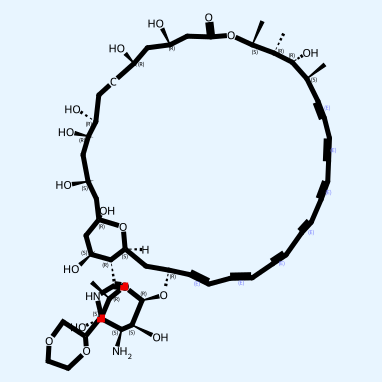 C[C@@H]1[C@H](O)[C@@H](C)/C=C/C=C/C=C/C=C/C=C/C=C/C=C/[C@H](O[C@@H]2O[C@H](C)[C@@H](O)[C@H](N)[C@@H]2O)C[C@@H]2O[C@](O)(C[C@@H](O)C[C@@H](O)[C@H](O)CC[C@@H](O)C[C@@H](O)CC(=O)O[C@H]1C)C[C@H](O)[C@H]2C(=O)NCC1COCCO1